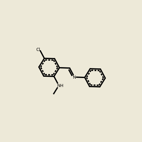 CNc1ccc(Cl)cc1C=Nc1ccccc1